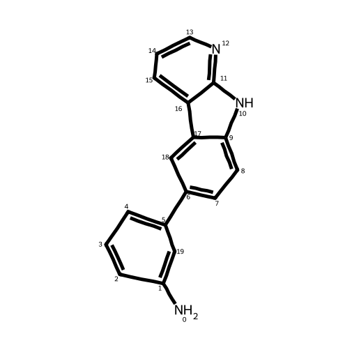 Nc1cccc(-c2ccc3[nH]c4ncccc4c3c2)c1